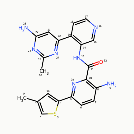 Cc1csc(-c2ccc(N)c(C(=O)Nc3cnccc3-c3cc(N)nc(C)n3)n2)c1